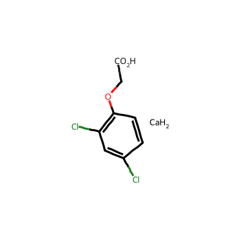 O=C(O)COc1ccc(Cl)cc1Cl.[CaH2]